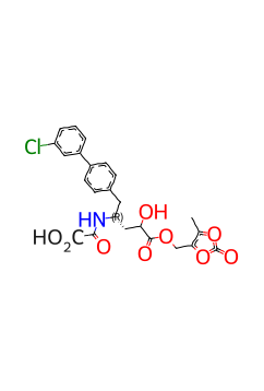 Cc1oc(=O)oc1COC(=O)C(O)C[C@@H](Cc1ccc(-c2cccc(Cl)c2)cc1)NC(=O)C(=O)O